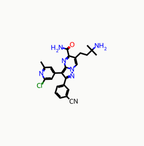 Cc1cc(-c2c(-c3cccc(C#N)c3)nn3cc(CCC(C)(C)N)c(C(N)=O)nc23)cc(Cl)n1